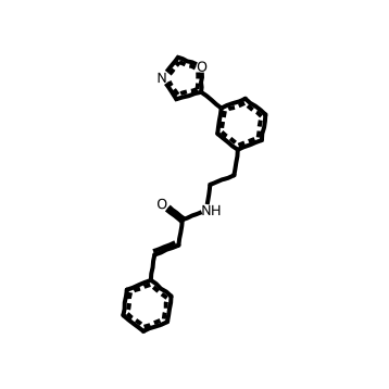 O=C(C=Cc1ccccc1)NCCc1cccc(-c2cnco2)c1